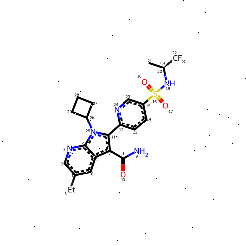 CCc1cnc2c(c1)c(C(N)=O)c(-c1ccc(S(=O)(=O)N[C@@H](C)C(F)(F)F)cn1)n2C1CCC1